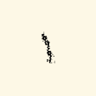 COc1ccc(N2CCN(CCCCc3ccc(C(=O)CCC(=O)O)cc3)CC2)cc1